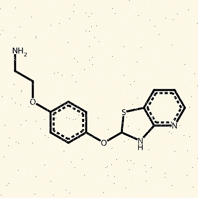 NCCOc1ccc(OC2Nc3ncccc3S2)cc1